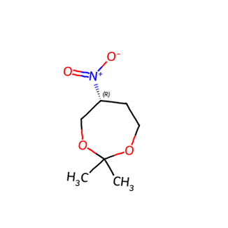 CC1(C)OCC[C@@H]([N+](=O)[O-])CO1